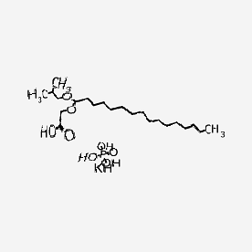 CCCCCCCCCCCCCCCC(OCC(=O)O)OCC(C)C.O=P(O)(O)O.[KH]